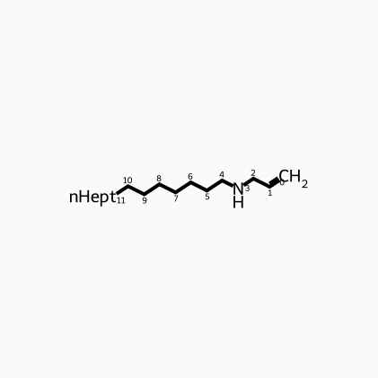 C=CCNCCCCCCCCCCCCCC